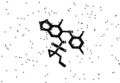 C=CCC1(S(=O)(=O)Nc2cc3snnc3c(F)c2Nc2ccc(I)cc2F)CC1